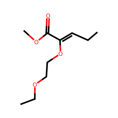 CCC=C(OCCOCC)C(=O)OC